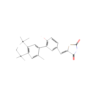 Cc1cc2c(cc1-c1cc(/C=C3\SC(=O)NC3=O)ccc1O)C(C)(C)CCC2(C)C